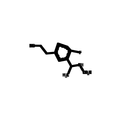 CC(NC(=O)O)c1cc(CCO)ccc1F